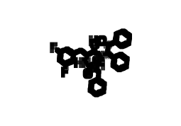 O=C(N[C@@H](c1ccccc1)[C@H](O)c1ccccc1)C(Cc1cc(F)cc(F)c1)NS(=O)(=O)Cc1ccccc1